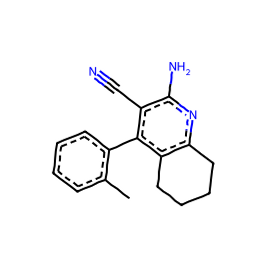 Cc1ccccc1-c1c(C#N)c(N)nc2c1CCCC2